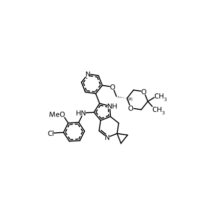 COc1c(Cl)cccc1Nc1c(-c2ccncc2OC[C@@H]2COC(C)(C)CO2)[nH]c2c1C=NC1(CC1)C2